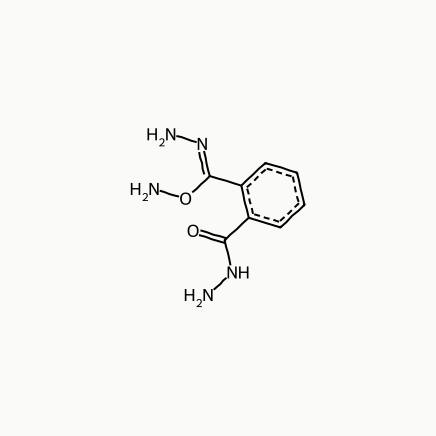 NN=C(ON)c1ccccc1C(=O)NN